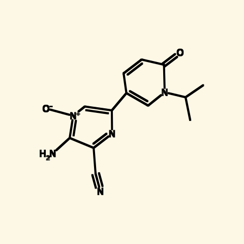 CC(C)n1cc(-c2c[n+]([O-])c(N)c(C#N)n2)ccc1=O